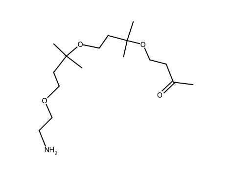 CC(=O)CCOC(C)(C)CCOC(C)(C)CCOCCN